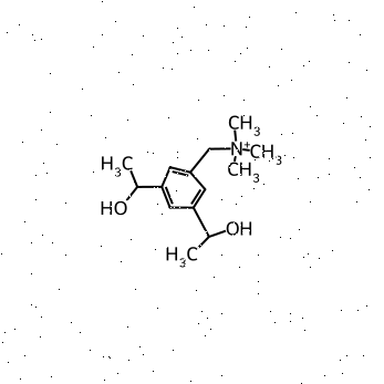 CC(O)c1cc(C[N+](C)(C)C)cc(C(C)O)c1